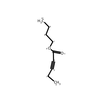 CCC#CC(=O)OCCCC